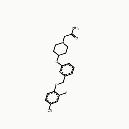 N#Cc1ccc(OCc2cccc(OC3CCN(CC(N)=O)CC3)n2)c(F)c1